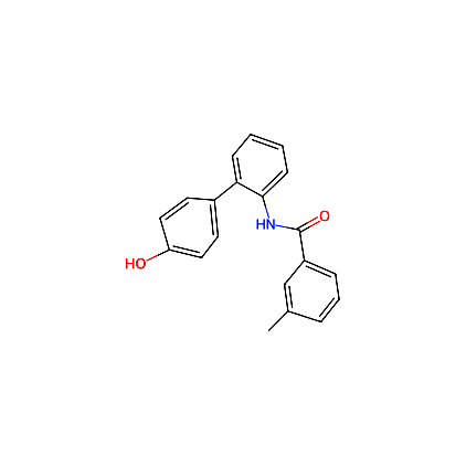 Cc1cccc(C(=O)Nc2ccccc2-c2ccc(O)cc2)c1